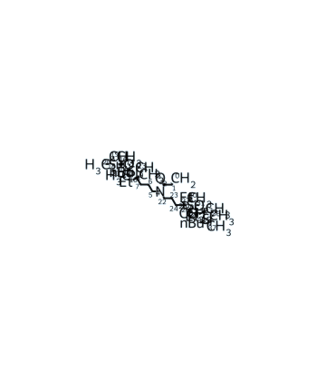 C=CC(=O)N(CCCC(C)(CC)[Si](C)(C)OC(C)(CC)[Si](C)(C)CCCC)CCCC(C)(CC)[Si](C)(C)OC(C)(CC)[Si](C)(C)CCCC